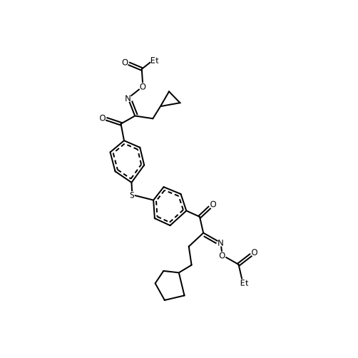 CCC(=O)O/N=C(\CCC1CCCC1)C(=O)c1ccc(Sc2ccc(C(=O)/C(CC3CC3)=N/OC(=O)CC)cc2)cc1